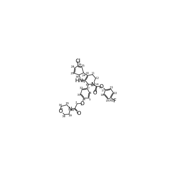 O=C(COc1ccc(C2C3=C(CCN2C(=O)Oc2ccc(F)cc2)C2C=C(Cl)C=CC2N3)cc1)N1CCOCC1